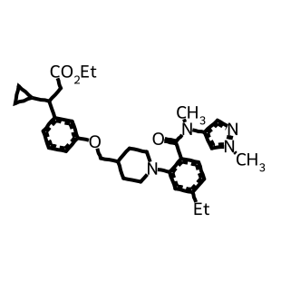 CCOC(=O)CC(c1cccc(OCC2CCN(c3cc(CC)ccc3C(=O)N(C)c3cnn(C)c3)CC2)c1)C1CC1